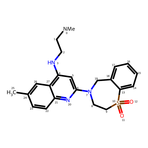 CNCCNc1cc(N2CCS(=O)(=O)c3ccccc3C2)nc2ccc(C)cc12